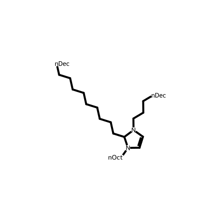 CCCCCCCCCCCCCCCCCCCC1N(CCCCCCCC)C=CN1CCCCCCCCCCCCC